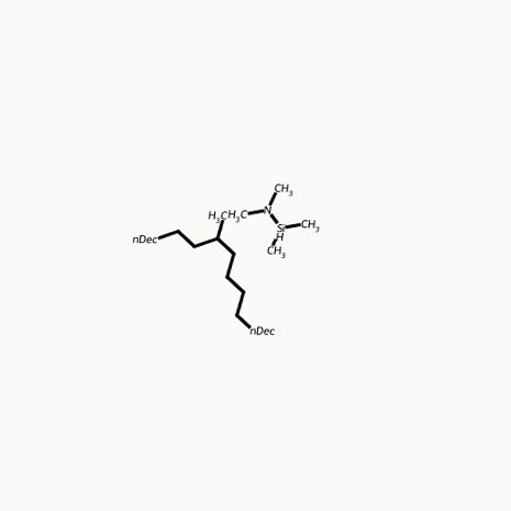 CCCCCCCCCCCCCCC(C)CCCCCCCCCCCC.CN(C)[SiH](C)C